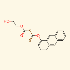 O=C(OCCO)SC(=S)Oc1cccc2cc3ccccc3cc12